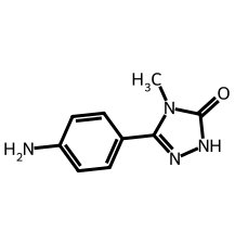 Cn1c(-c2ccc(N)cc2)n[nH]c1=O